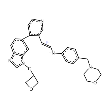 C(=C\c1cnccc1-c1ccc2ncn(CC3COC3)c2c1)/Nc1ccc(CN2CCOCC2)cc1